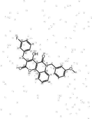 COc1cccc(Cn2c(=O)c3c(O)c(Sc4cccc(F)c4)c(=O)oc3c3ccccc32)c1